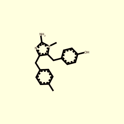 Cc1ccc(Cc2nc(N)n(C)c2Cc2ccc(O)cc2)cc1